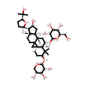 CC(C)(O)[C@@H]1CC[C@](C)([C@H]2[C@@H](O)C[C@@]3(C)[C@@H]4C[C@H](OC5O[C@H](CO)[C@@H](O)[C@H](O)[C@H]5O)[C@H]5C(C)(C)C(O[C@@H]6OC[C@@H](O)[C@H](O)[C@H]6O)CC[C@@]56CC46CC[C@]23C)O1